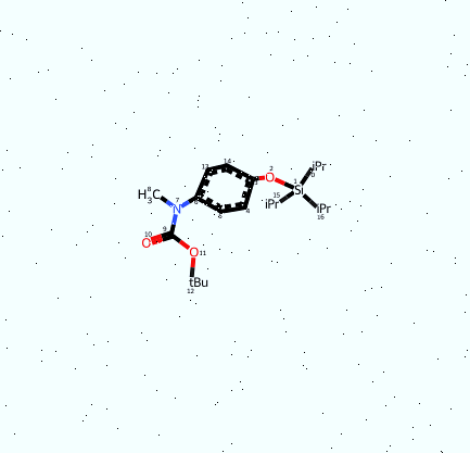 CC(C)[Si](Oc1ccc(N(C)C(=O)OC(C)(C)C)cc1)(C(C)C)C(C)C